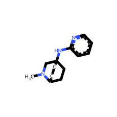 CN1CC2(Nc3ccccn3)CCC1CC2